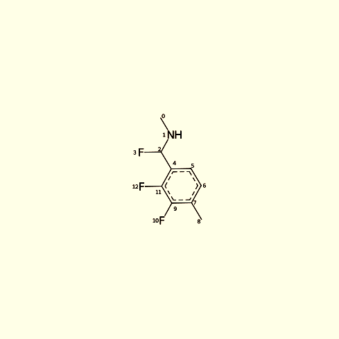 CNC(F)c1ccc(C)c(F)c1F